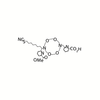 COC(=O)c1cccc(C(CCCCCCCSC#N)N2CCOCCOCCN(Cc3cccc(C(=O)O)n3)CCOCCOCC2)n1